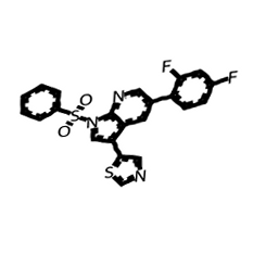 O=S(=O)(c1ccccc1)n1cc(-c2cncs2)c2cc(-c3ccc(F)cc3F)cnc21